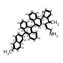 C=C(/C=C\CN)c1cccnc1-c1ccc(-c2c3ccccc3c(-c3ccc4cc(C)ccc4c3)c3ccccc23)c2ccccc12